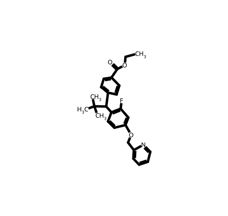 CCOC(=O)c1ccc(C(c2ccc(OCc3ccccn3)cc2F)C(C)(C)C)cc1